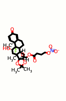 CC1(C)O[C@@H]2C[C@H]3C4CCC5=CC(=O)C=C[C@]5(C)[C@@]4(F)[C@@H](O)C[C@]3(C)[C@]2(C(=O)COC(=O)CCCO[N+](=O)[O-])O1